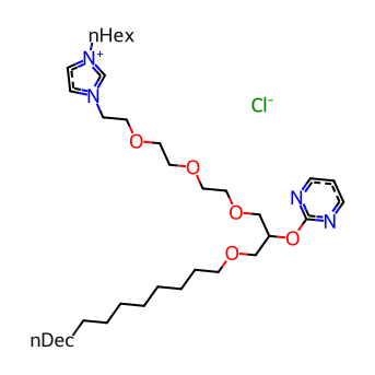 CCCCCCCCCCCCCCCCCCOCC(COCCOCCOCCn1cc[n+](CCCCCC)c1)Oc1ncccn1.[Cl-]